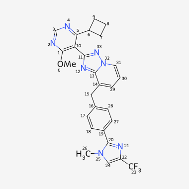 COc1ncnc(C2CCC2)c1-c1nc2c(Cc3ccc(-c4nc(C(F)(F)F)cn4C)cc3)cccn2n1